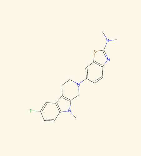 CN(C)c1nc2ccc(N3CCc4c(n(C)c5ccc(F)cc45)C3)cc2s1